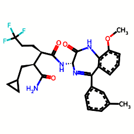 COc1cccc2c1NC(=O)[C@@H](NC(=O)[C@H](CCC(F)(F)F)[C@H](CC1CC1)C(N)=O)N=C2c1cccc(C)c1